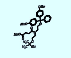 COC(=O)CCC(=O)N(CCOC(c1ccccc1)(c1ccc(OC)cc1)c1ccc(OC)cc1)CCO[Si](C)(C)C(C)(C)C